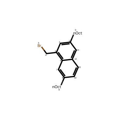 CCCCCCCCc1cc(CBr)c2cc(CCCCCCCC)ccc2c1